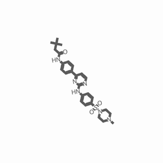 CN1CCN(S(=O)(=O)c2ccc(Nc3nccc(-c4ccc(NC(=O)CC(C)(C)C)cc4)n3)cc2)CC1